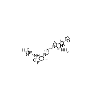 C[S@+]([O-])CCNC(=O)c1cc(N2CCN(CCn3cnc4c3nc(N)n3nc(-c5ccco5)nc43)CC2)c(F)cc1F